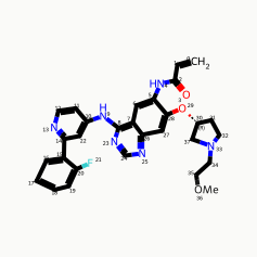 C=CC(=O)Nc1cc2c(Nc3ccnc(-c4ccccc4F)c3)ncnc2cc1O[C@@H]1CCN(CCOC)C1